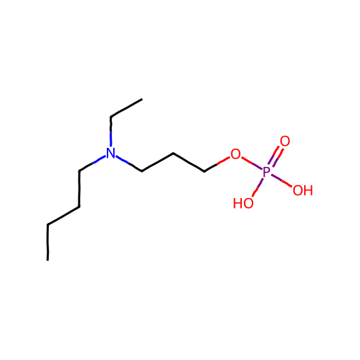 CCCCN(CC)CCCOP(=O)(O)O